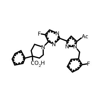 CC(=O)c1cc(-c2ncc(F)c(N3CCC(C(=O)O)(c4ccccc4)CC3)n2)nn1Cc1ccccc1F